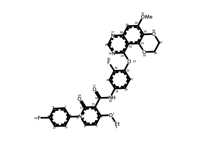 CCOc1ccn(-c2ccc(F)cc2)c(=O)c1C(=O)Nc1ccc(Oc2ncnc3cc(OC)c4c(c23)OCCO4)c(F)c1